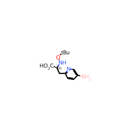 Bc1ccc(C[C@H](NOC(C)(C)C)C(=O)O)nc1